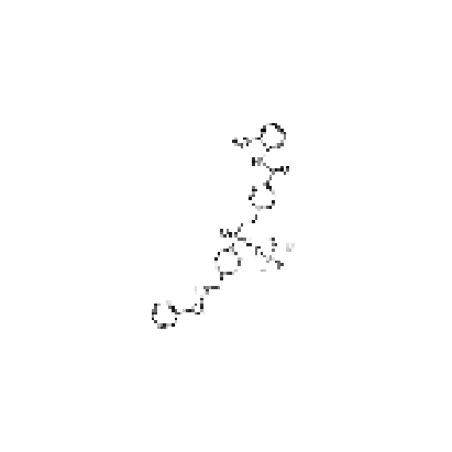 Nc1ccccc1NC(=O)c1ccc(CCS(=O)(=O)N2CCC(CNC3CC3c3ccccc3)CC2)cc1.O=C(O)C(F)(F)F